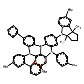 CC(C)(C)c1ccc(N2c3cc(N4c5ccc(C(C)(C)C)cc5C5(C)CCCC45C)ccc3B3c4ccc(-c5ccccc5)cc4N(c4ccc(C(C)(C)C)cc4-c4ccccc4)c4cc(C(C)(C)C)cc2c43)cc1